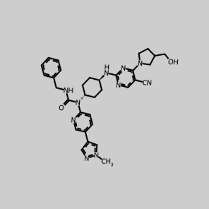 Cn1cc(-c2ccc(N(C(=O)NCc3ccccc3)[C@H]3CC[C@H](Nc4ncc(C#N)c(N5CCC(CO)C5)n4)CC3)nc2)cn1